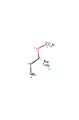 Br.CCCCCCOC(=O)O.[Na]